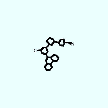 N#Cc1ccc(-c2cccc(-c3cc(Cl)cc(-c4cc5ccccc5c5ccccc45)c3)c2)cc1